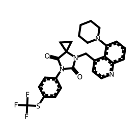 O=C1N(c2ccc(SC(F)(F)F)cc2)C(=O)C2(CC2)N1Cc1ccnc2cccc(N3CCCCC3)c12